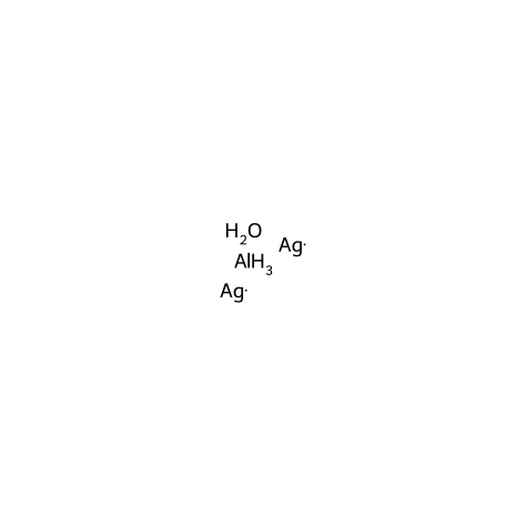 O.[Ag].[Ag].[AlH3]